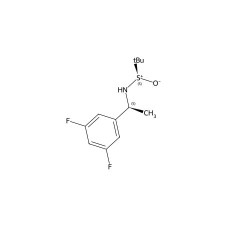 C[C@H](N[S@+]([O-])C(C)(C)C)c1cc(F)cc(F)c1